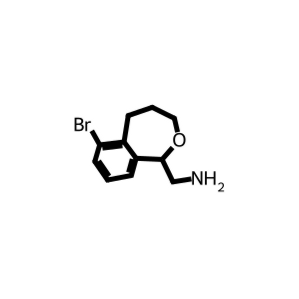 NCC1OCCCc2c(Br)cccc21